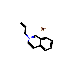 C=CC[n+]1ccc2ccccc2c1.[Br-]